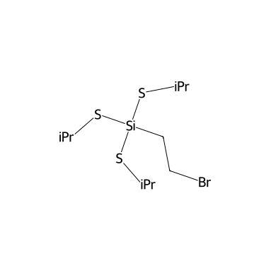 CC(C)S[Si](CCBr)(SC(C)C)SC(C)C